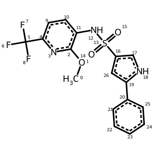 COc1nc(C(F)(F)F)ccc1NS(=O)(=O)c1c[nH]c(-c2ccccc2)c1